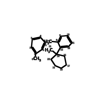 Cc1ccccc1.Cc1ccccc1C1(C)CCCCC1